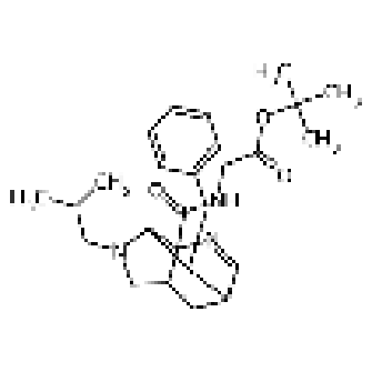 CC(C)CN1CC2CC3C=NC2(C(=O)NCC(=O)OC(C)(C)C)C1C3Cc1ccccc1